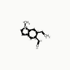 C=Cc1cc2c(ccn2C)cc1C=O